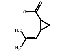 CC(C)=CC1CC1C(=O)Cl